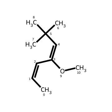 C/C=C\C(=C/C(C)(C)C)OC